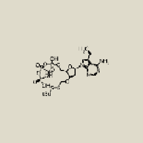 C=Cc1cn([C@H]2CC(OCSSC(C)(C)C)[C@@H](COP(=O)(O)OP(=O)(O)OP(=O)(O)O)O2)c2ncnc(N)c12